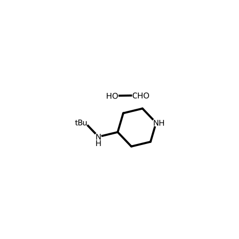 CC(C)(C)NC1CCNCC1.O=CO